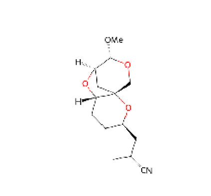 CO[C@@H]1OC[C@]23C[C@H]1O[C@H]2CC[C@H](C[C@@H](C)C#N)O3